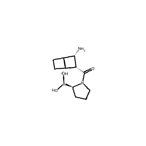 N[C@H]1C2CCC2[C@H]1C(=O)N1CCC[C@H]1B(O)O